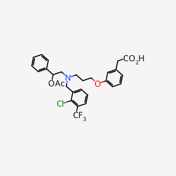 CC(=O)OC(CN(CCCOc1cccc(CC(=O)O)c1)Cc1cccc(C(F)(F)F)c1Cl)c1ccccc1